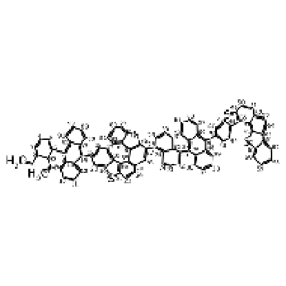 C=CC1C=CC=C(c2c3ccccc3c(-c3ccc4c(c3)sc3ccc5cc(-c6cccc7c(-c8c9ccccc9c(-c9ccc%10c(c9)sc9ccc%11ccc%12c%13ccccc%13sc%12c%11c9%10)c9ccccc89)cccc67)c6sc7ccccc7c6c5c34)c3ccccc23)C1C=C